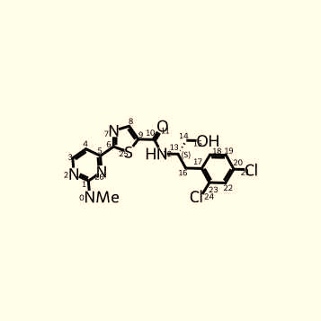 CNc1nccc(-c2ncc(C(=O)N[C@H](CO)Cc3ccc(Cl)cc3Cl)s2)n1